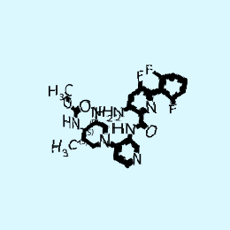 COC(=O)N[C@@H]1[C@H](N)CN(c2ccncc2NC(=O)c2nc(-c3c(F)cccc3F)c(F)cc2N)C[C@@H]1C